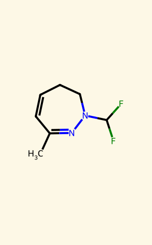 CC1=NN(C(F)F)CCC=C1